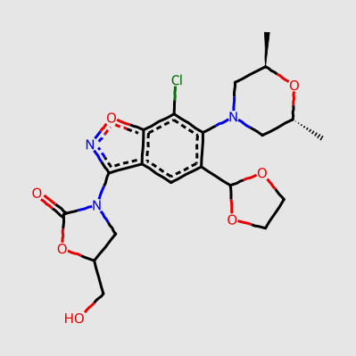 C[C@@H]1CN(c2c(C3OCCO3)cc3c(N4CC(CO)OC4=O)noc3c2Cl)C[C@@H](C)O1